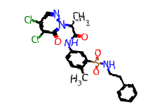 Cc1ccc(NC(=O)[C@H](C)n2ncc(Cl)c(Cl)c2=O)cc1S(=O)(=O)NCCc1ccccc1